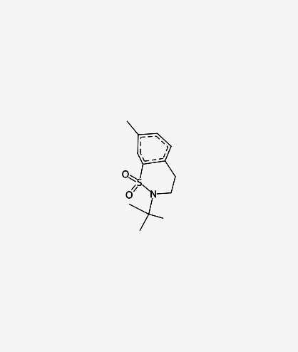 Cc1ccc2c(c1)S(=O)(=O)N(C(C)(C)C)CC2